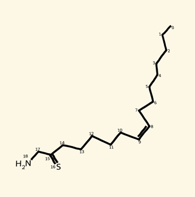 CCCCCCCC/C=C\CCCCCC(=S)CN